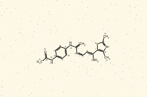 C=C(/N=C\C=C(/N)c1sc(C)nc1C)Nc1ccc(NC(C)=O)cc1